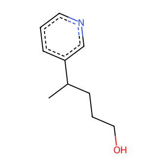 CC(CCCO)c1cccnc1